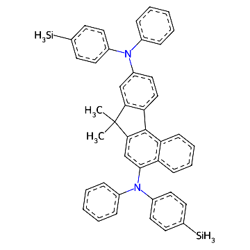 CC1(C)c2cc(N(c3ccccc3)c3ccc([SiH3])cc3)ccc2-c2c1cc(N(c1ccccc1)c1ccc([SiH3])cc1)c1ccccc21